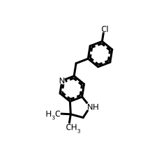 CC1(C)CNc2cc(Cc3cccc(Cl)c3)ncc21